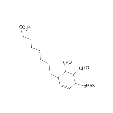 CCCCCCC1C=CC(CCCCCCCC(=O)O)C(C=O)C1C=O